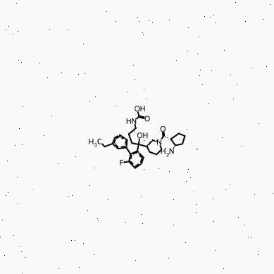 CCc1cccc(-c2c(F)cccc2C(O)(CCCNC(=O)O)C2CCCN(C(=O)[C@@H]3CCC[C@@H]3N)C2)c1